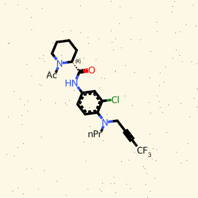 CCCN(CC#CC(F)(F)F)c1ccc(NC(=O)[C@H]2CCCCN2C(C)=O)cc1Cl